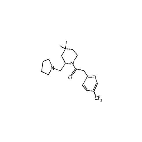 CC1(C)CCN(C(=O)Cc2ccc(C(F)(F)F)cc2)C(CN2CCCC2)C1